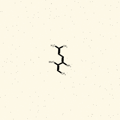 C/C=C(OC)\C(N)=C/C=C(C)C